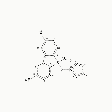 C[Si](Cn1ccnn1)(c1ccc(F)cc1)c1ccc(F)cc1